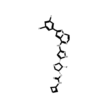 O=C(NC12CC(C1)C2)O[C@@H]1CO[C@H](c2cc(Nc3nccn4nc(-c5cc(F)cc(F)c5)cc34)n[nH]2)[C@@H]1F